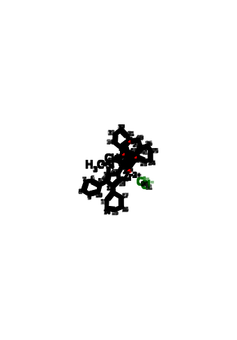 C[Si]1(C)C2=C(c3ccccc3)C(c3ccccc3)=[C]([Zr+2][C]3=C(c4ccccc4)C(c4ccccc4)=C1C3c1ccccc1)C2c1ccccc1.[Cl-].[Cl-]